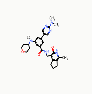 CCN(c1cc(C(=O)NCc2c3c(c(C)[nH]c2=O)CCC3)cc(-c2cnc(N(C)C)nc2)c1)C1CCOCC1